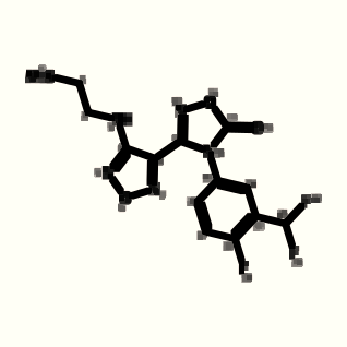 CSCCNc1nonc1-c1noc(=O)n1-c1ccc(F)c(C(F)F)c1